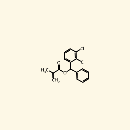 C=C(C)C(=O)OC(c1ccccc1)c1cccc(Cl)c1Cl